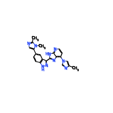 Cc1cn(-c2ccnc3[nH]c(-c4n[nH]c5ccc(-c6cnc(C)n6C)cc45)nc23)cn1